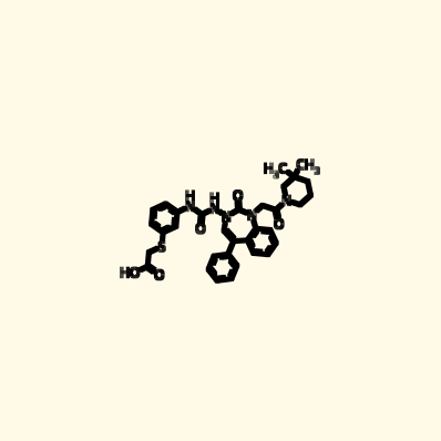 CC1(C)CCCN(C(=O)CN2C(=O)N(NC(=O)Nc3cccc(SCC(=O)O)c3)C=C(c3ccccc3)c3ccccc32)C1